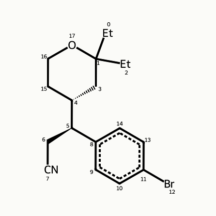 CCC1(CC)C[C@H]([C@H](CC#N)c2ccc(Br)cc2)CCO1